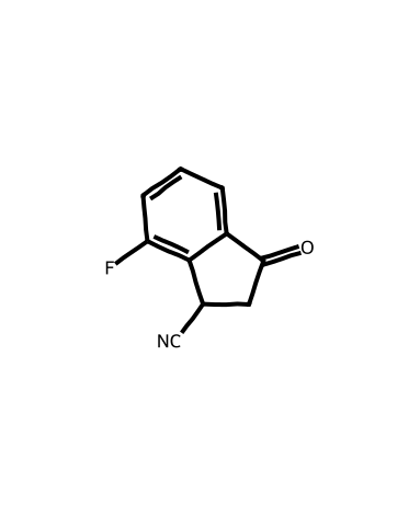 N#CC1CC(=O)c2cccc(F)c21